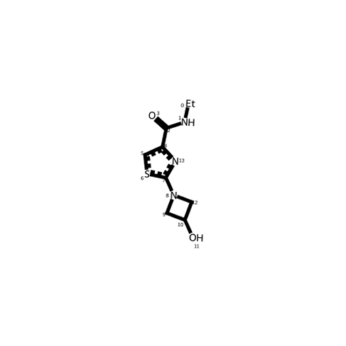 CCNC(=O)c1csc(N2CC(O)C2)n1